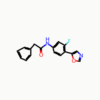 O=C(Cc1ccccc1)Nc1ccc(-c2cnco2)c(F)c1